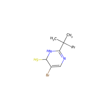 CC(C)C(C)(C)C1=NC=C(Br)[C](S)N1